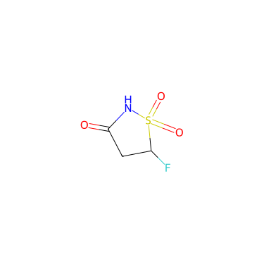 O=C1CC(F)S(=O)(=O)N1